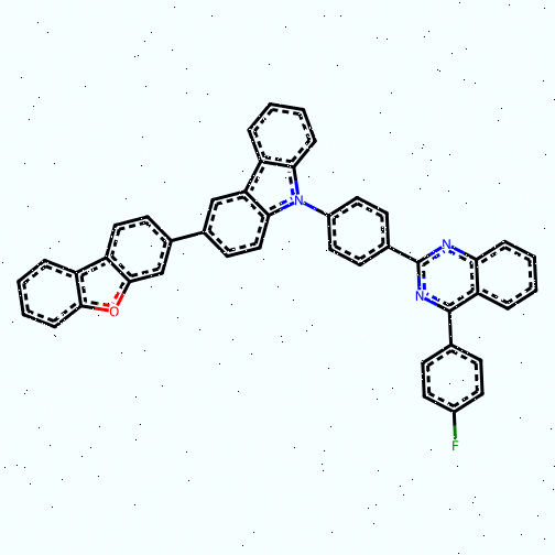 Fc1ccc(-c2nc(-c3ccc(-n4c5ccccc5c5cc(-c6ccc7c(c6)oc6ccccc67)ccc54)cc3)nc3ccccc23)cc1